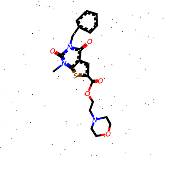 Cn1c(=O)n(Cc2ccccc2)c(=O)c2cc(C(=O)OCCN3CCOCC3)sc21